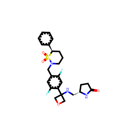 O=C1CC[C@@H](CNC2(c3cc(F)c(CN4CCC[C@H](c5ccccc5)S4(=O)=O)cc3F)COC2)N1